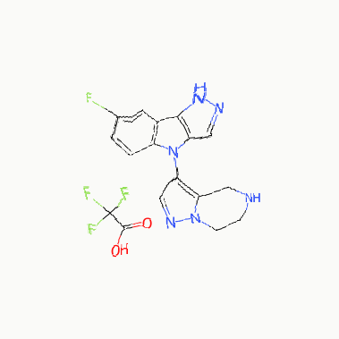 Fc1ccc2c(c1)c1[nH]ncc1n2-c1cnn2c1CNCC2.O=C(O)C(F)(F)F